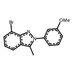 COc1cccc(-n2nc3c(Br)cccc3c2C)c1